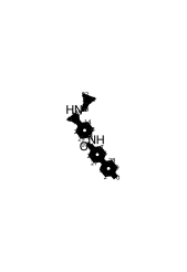 Cc1ccc(-c2ccc(C(=O)Nc3ccc(C4CC4NCC4CC4)cc3)cc2)cc1